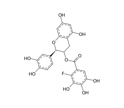 O=C(OC1Cc2c(O)cc(O)cc2O[C@@H]1c1ccc(O)c(O)c1)c1cc(O)c(O)c(O)c1F